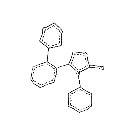 O=c1scc(-c2ccccc2-c2ccccc2)n1-c1ccccc1